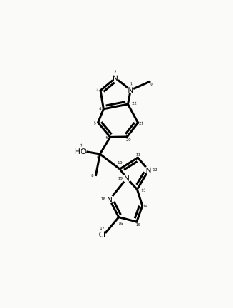 Cn1ncc2cc(C(C)(O)c3cnc4ccc(Cl)nn34)ccc21